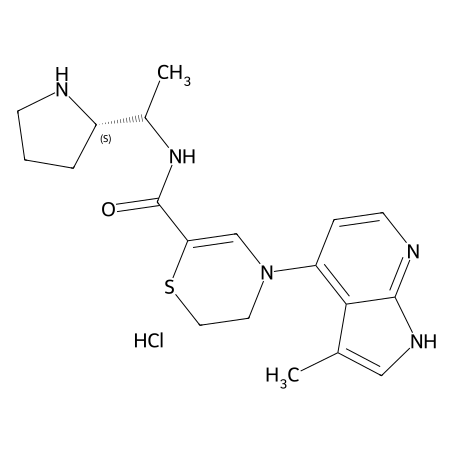 Cc1c[nH]c2nccc(N3C=C(C(=O)NC(C)[C@@H]4CCCN4)SCC3)c12.Cl